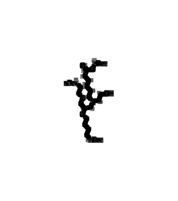 CCCCCCCCCCCCCCOC(COCCCCCCCCCCCC)CN(CCO)CCCCCC(=O)OCCCCCCCCCC